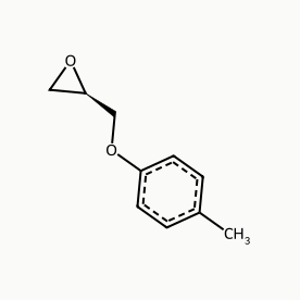 Cc1ccc(OC[C@H]2CO2)cc1